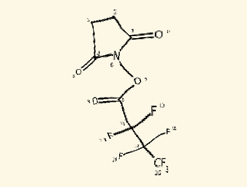 O=C1CCC(=O)N1OC(=O)C(F)(F)C(F)(F)C(F)(F)F